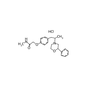 CNC(=O)COc1ccc(CC(C)N2CCOC(c3ccccc3)C2)cc1.Cl